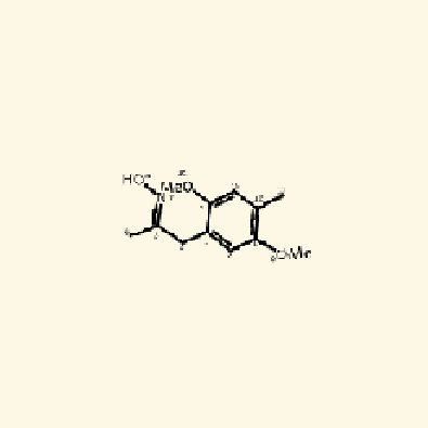 COc1cc(CC(C)=NO)c(OC)cc1C